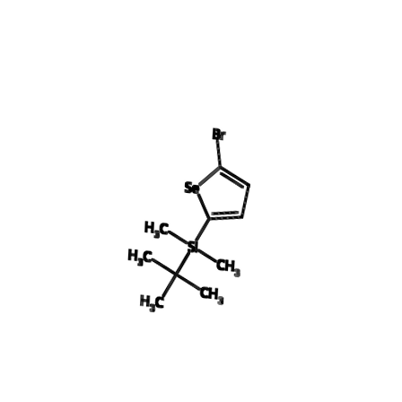 CC(C)(C)[Si](C)(C)c1ccc(Br)[se]1